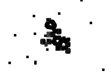 CC1(C)OC(=O)Nc2cc([N+](=O)[O-])c(NC(=O)c3ccncc3)cc21